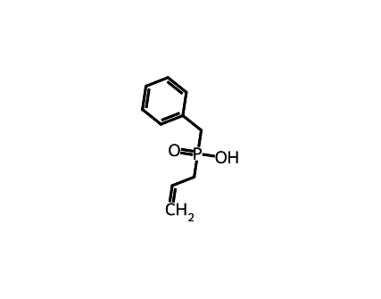 C=CCP(=O)(O)Cc1ccccc1